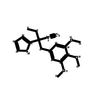 [C-]#[N+]C(CC)(Cc1cc(OC)c(OC)c(OC)c1)c1cccs1